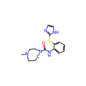 CN1CCCN(C(=O)Nc2ccccc2Sc2ncc[nH]2)CC1